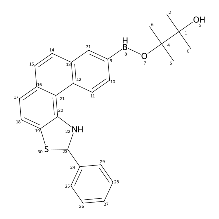 CC(C)(O)C(C)(C)OBc1ccc2c(ccc3ccc4c(c32)NC(c2ccccc2)S4)c1